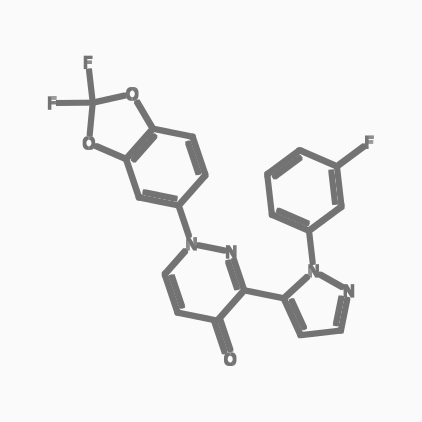 O=c1ccn(-c2ccc3c(c2)OC(F)(F)O3)nc1-c1ccnn1-c1cccc(F)c1